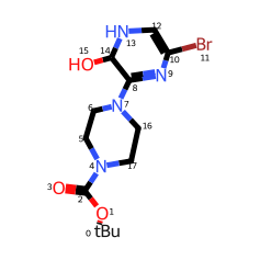 CC(C)(C)OC(=O)N1CCN(C2=NC(Br)=CNC2O)CC1